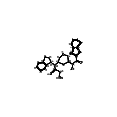 CCN(C(=O)c1cc2ccccc2[nH]1)C1COCC(N(C(=O)OC(C)(C)C)[C@@H]2CCc3ccccc32)C1